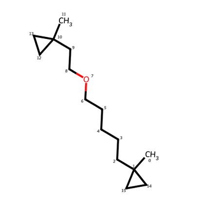 CC1(CCCCCOCCC2(C)CC2)CC1